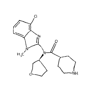 Cn1c(N(C(=O)C2CCNCC2)[C@H]2CCOC2)nc2c(Cl)cccc21